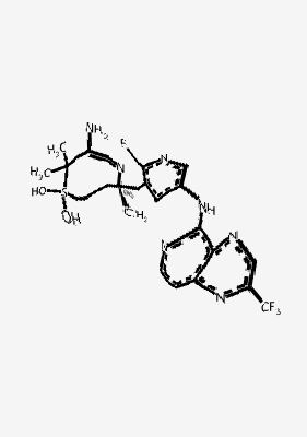 CC1(C)C(N)=N[C@](C)(c2cc(Nc3nccc4nc(C(F)(F)F)cnc34)cnc2F)CS1(O)O